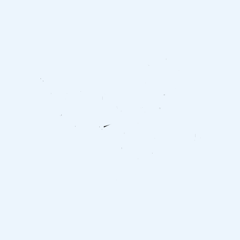 CCCc1cc(CC)cc([C@@H](Nc2ccc(C#N)cc2)C(=O)O)c1OCC1CCCCC1